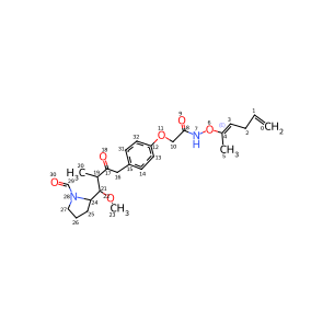 C=CC/C=C(\C)ONC(=O)COc1ccc(CC(=O)C(C)C(OC)C2CCCN2C=O)cc1